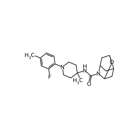 Cc1ccc(N2CCC(C)(NC(=O)N3C4CC5CC3CC(C4)O5)CC2)c(F)c1